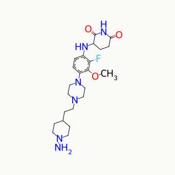 COc1c(N2CCN(CCC3CCN(N)CC3)CC2)ccc(NC2CCC(=O)NC2=O)c1F